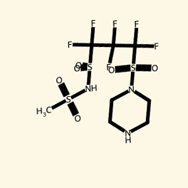 CS(=O)(=O)NS(=O)(=O)C(F)(F)C(F)(F)C(F)(F)S(=O)(=O)N1CCNCC1